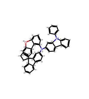 c1ccc(-n2c3ccccc3c3ccc(N(c4ccc5c(c4)C4(CCCC4)c4ccccc4-5)c4cccc5oc6ccccc6c45)cc32)cc1